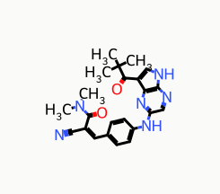 CN(C)C(=O)C(C#N)=Cc1ccc(Nc2cnc3[nH]cc(C(=O)C(C)(C)C)c3n2)cc1